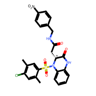 Cc1cc(S(=O)(=O)N2c3ccccc3NC(=O)[C@H]2CC(=O)NCc2ccc([N+](=O)[O-])cc2)c(C)cc1Cl